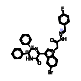 O=C(Cn1cc(C2=N[C@@H](c3ccccc3)[C@H](c3ccccc3)NC2=O)c2cc(Br)ccc21)N/N=C/c1ccc(F)cc1